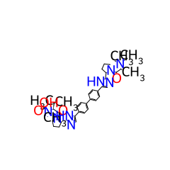 CCN(CC)[C@@H](C)C(=O)N1CCCC1c1ncc(-c2ccc(-c3ccc(-c4cnc([C@@H]5CCCN5C(=O)[C@H](C(C)C)N(C)C(=O)O)[nH]4)cc3)cc2)[nH]1